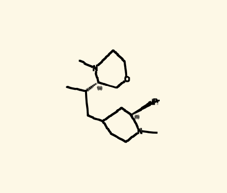 CC(CC1CCN(C)[C@H](C(C)C)C1)[C@H]1COCCN1C